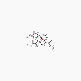 CCNC(=O)C(c1ccc(C(=O)OCC)cc1)c1cc(OC)ccc1N1CCCCC1